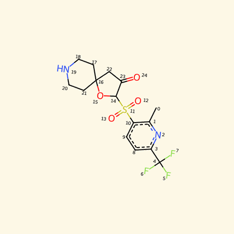 Cc1nc(C(F)(F)F)ccc1S(=O)(=O)C1OC2(CCNCC2)CC1=O